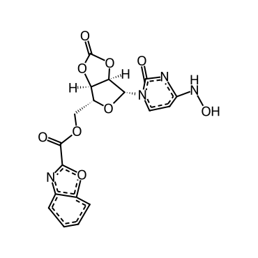 O=C1O[C@@H]2[C@H](O1)[C@@H](COC(=O)c1nc3ccccc3o1)O[C@H]2n1ccc(NO)nc1=O